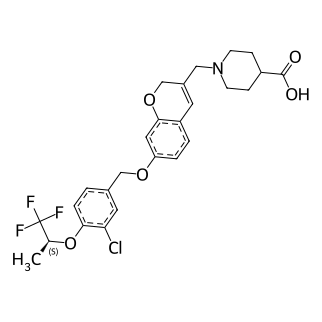 C[C@H](Oc1ccc(COc2ccc3c(c2)OCC(CN2CCC(C(=O)O)CC2)=C3)cc1Cl)C(F)(F)F